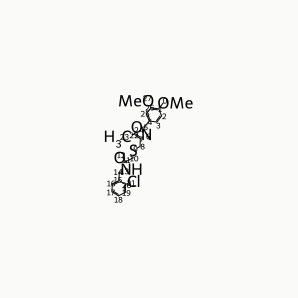 COc1ccc(-c2nc(CSCC(=O)NCc3ccccc3Cl)c(C)o2)cc1OC